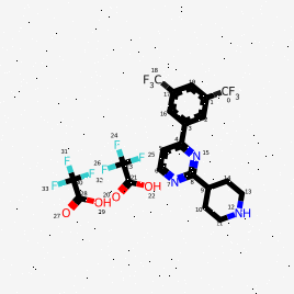 FC(F)(F)c1cc(-c2ccnc(C3CCNCC3)n2)cc(C(F)(F)F)c1.O=C(O)C(F)(F)F.O=C(O)C(F)(F)F